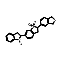 O=S1(=O)c2cc(C3Cc4ccccc4[S+]3[O-])ccc2CC1c1ccc2c(c1)CSC2